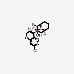 CB(O)N1C2CCC[C@@H]1C[C@@H](C1=CCOc3cc(Cl)nnc31)[C@H]2F